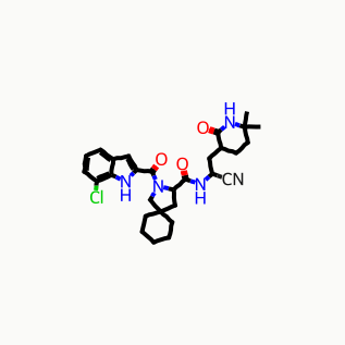 CC1(C)CCC(CC(C#N)NC(=O)C2CC3(CCCCC3)CN2C(=O)c2cc3cccc(Cl)c3[nH]2)C(=O)N1